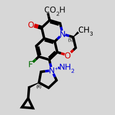 C[C@H]1COc2c([N+]3(N)CC[C@@H](CC4CC4)C3)c(F)cc3c(=O)c(C(=O)O)cn1c23